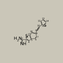 N=C(N)c1cc2ccc(C#Cc3cccs3)cc2s1